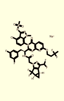 Cn1nc([N-]S(C)(=O)=O)c2c(Cl)ccc(-n3c([C@H](Cc4cc(F)cc(F)c4)NC(=O)Cn4nc(C(F)F)c5c4C(F)(F)[C@@H]4C[C@H]54)nc4nc(OCCC(C)(F)F)ccc4c3=O)c21.[Na+]